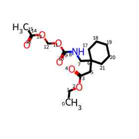 CCOC(=O)CC1(CNC(=O)OCOC(C)=O)CCCCC1